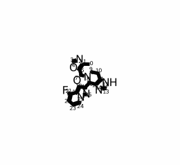 Cc1ncoc1C(=O)N1CCc2[nH]cnc2C1c1cc2c(F)cccn2n1